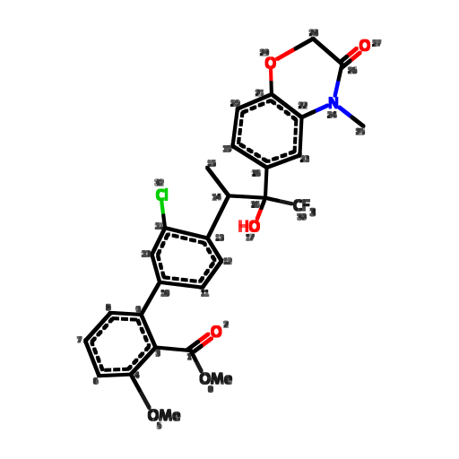 COC(=O)c1c(OC)cccc1-c1ccc(C(C)C(O)(c2ccc3c(c2)N(C)C(=O)CO3)C(F)(F)F)c(Cl)c1